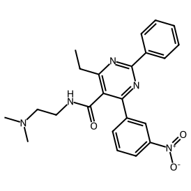 CCc1nc(-c2ccccc2)nc(-c2cccc([N+](=O)[O-])c2)c1C(=O)NCCN(C)C